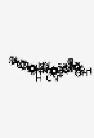 N#Cc1cc(-c2ncnc(Nc3ccc(N4CCN(C5COC5)CC4)cc3)n2)ccc1O[C@H]1CCN(C(=O)C2CCS(O)(O)N2)C[C@H]1F